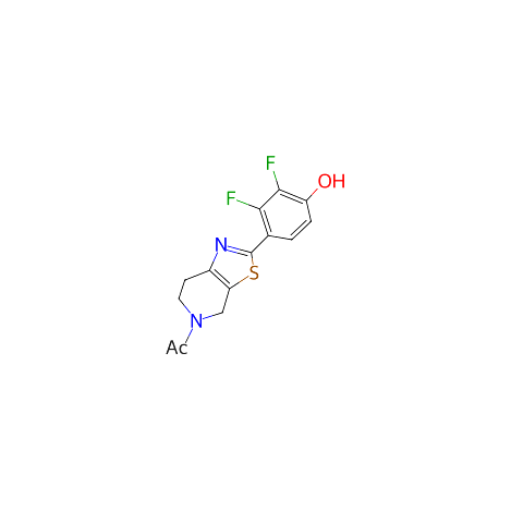 CC(=O)N1CCc2nc(-c3ccc(O)c(F)c3F)sc2C1